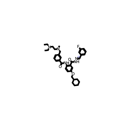 CCN(CC)CCN(C)Cc1cccc(C(=O)Nc2ccc(OCC3CCCCC3)cc2C(=O)N/N=C/c2cccc(F)c2)c1